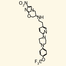 O=[N+]([O-])c1cn2c(n1)OCC(NCCc1ccc(N3CCN(c4ccc(OC(F)(F)F)cc4)CC3)nc1)C2